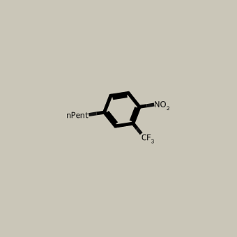 CCCCCc1ccc([N+](=O)[O-])c(C(F)(F)F)c1